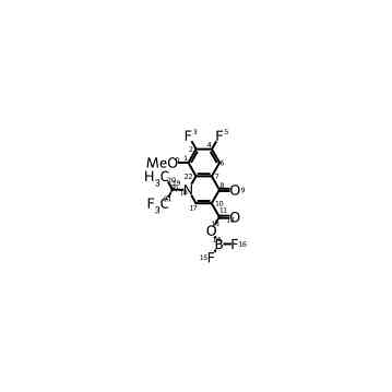 COc1c(F)c(F)cc2c(=O)c(C(=O)OB(F)F)cn([C@H](C)C(F)(F)F)c12